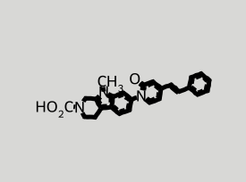 Cn1c2c(c3ccc(-n4ccc(C=Cc5ccccc5)cc4=O)cc31)CCN(C(=O)O)C2